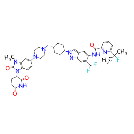 Cn1c(=O)n(C2CCC(=O)NC2=O)c2ccc(N3CCN(C[C@H]4CC[C@H](n5cc6cc(NC(=O)c7cccc(C(C)(C)F)n7)c(C(F)F)cc6n5)CC4)CC3)cc21